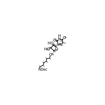 CCCCCCCCCCCCCCCCOC[C@H]1O[C@@H](n2ncc(=O)[nH]c2=O)[C@H](O)[C@@H]1O